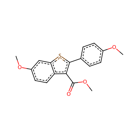 COC(=O)c1c(-c2ccc(OC)cc2)sc2cc(OC)ccc12